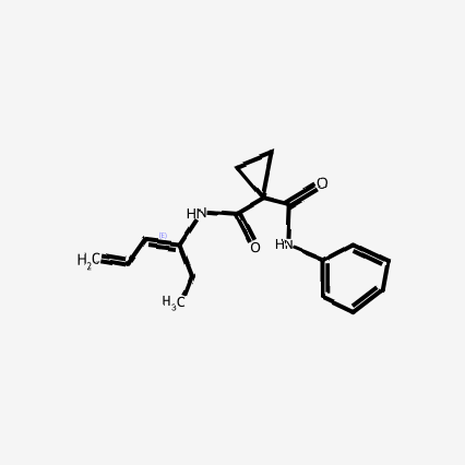 C=C/C=C(\CC)NC(=O)C1(C(=O)Nc2ccccc2)CC1